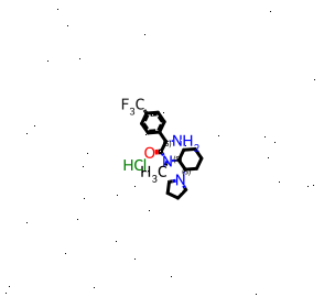 CN(C(=O)[C@@H](N)c1ccc(C(F)(F)F)cc1)[C@H]1CCCC[C@@H]1N1CCCC1.Cl